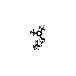 FC(F)(F)c1cc(-c2csc(Sc3nnn[nH]3)n2)cc(C(F)(F)F)c1